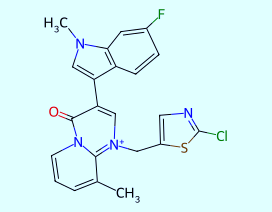 Cc1cccn2c(=O)c(-c3cn(C)c4cc(F)ccc34)c[n+](Cc3cnc(Cl)s3)c12